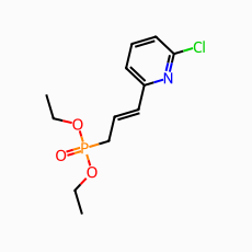 CCOP(=O)(CC=Cc1cccc(Cl)n1)OCC